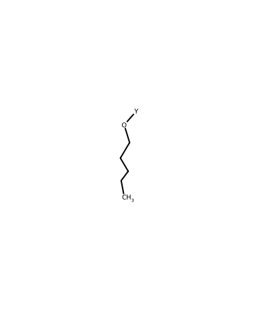 CCCCC[O][Y]